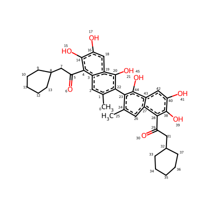 Cc1cc2c(C(=O)CC3CCCCC3)c(O)c(O)cc2c(O)c1-c1c(C)cc2c(C(=O)CC3CCCCC3)c(O)c(O)cc2c1O